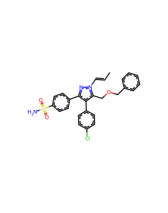 CC=Cn1nc(-c2ccc(S(N)(=O)=O)cc2)c(-c2ccc(Cl)cc2)c1COCc1ccccc1